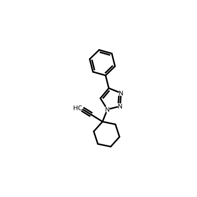 C#CC1(n2cc(-c3ccccc3)nn2)CCCCC1